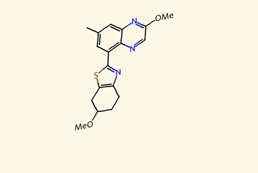 COc1cnc2c(-c3nc4c(s3)CC(OC)CC4)cc(C)cc2n1